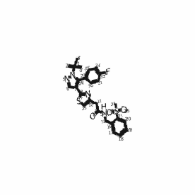 CC(C)(C)n1ncc(-c2nc(CC(=O)NCc3ccccc3S(C)(=O)=O)cs2)c1-c1ccc(F)cc1